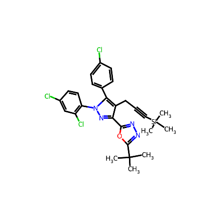 CC(C)(C)c1nnc(-c2nn(-c3ccc(Cl)cc3Cl)c(-c3ccc(Cl)cc3)c2CC#C[Si](C)(C)C)o1